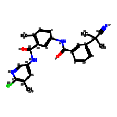 Cc1ccc(NC(=O)c2cccc(C(C)(C)C#N)c2)cc1C(=O)Nc1cnc(Cl)c(C)c1